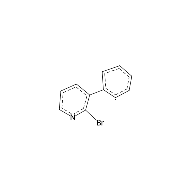 Brc1ncccc1-c1[c]cccc1